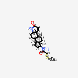 CN1C(=O)C=C[C@@]2(C)C1CC[C@@H]1[C@H]2CC[C@]2(C)C(NC(=O)CSC(C)(C)C)CC[C@@H]12